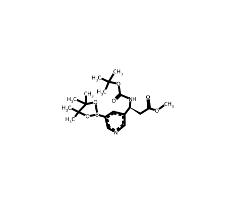 COC(=O)C[C@H](NC(=O)OC(C)(C)C)c1cncc(B2OC(C)(C)C(C)(C)O2)c1